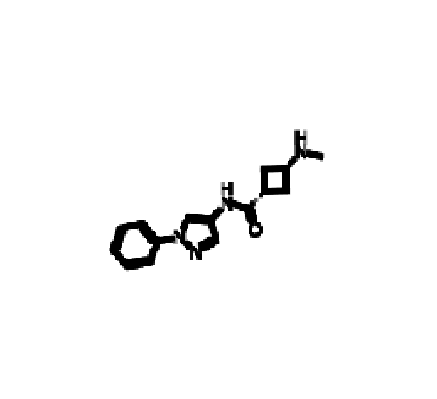 CN[C@H]1C[C@H](C(=O)Nc2cnn(-c3ccccc3)c2)C1